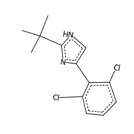 CC(C)(C)c1nc(-c2c(Cl)cccc2Cl)c[nH]1